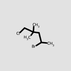 CC(Br)CC(C)(C)CCl